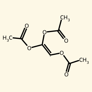 CC(=O)O[C]=C(OC(C)=O)OC(C)=O